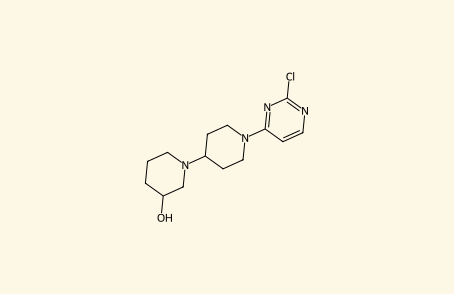 OC1CCCN(C2CCN(c3ccnc(Cl)n3)CC2)C1